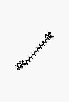 FC(F)(CCCCCCCCCCCCCCCCC[Si](F)(F)F)c1ccccc1